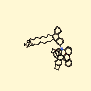 CCCCCCCCc1c(CCCCCCCC)c2cc(N(c3c#ccc4c3C(c3ccc5c(c3)CC5)(c3ccc5c(c3)CC5)c3ccccc3-4)c3ccccc3C3=CC=CCC3)ccc2c2ccccc12